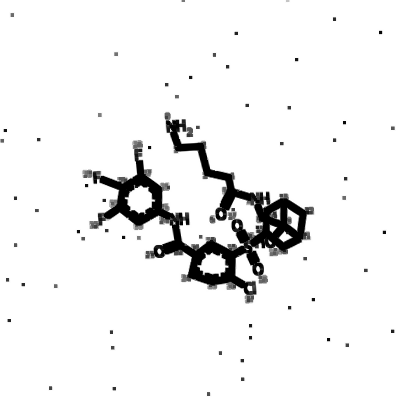 NCCCCC(=O)NCC1(O)C2CC1CC(S(=O)(=O)c1cc(C(=O)Nc3cc(F)c(F)c(F)c3)ccc1Cl)C2